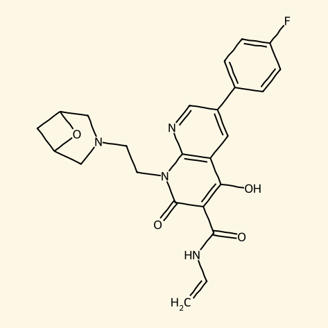 C=CNC(=O)c1c(O)c2cc(-c3ccc(F)cc3)cnc2n(CCN2CC3CC(C2)O3)c1=O